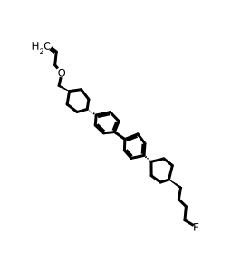 C=CCOC[C@H]1CC[C@H](c2ccc(-c3ccc([C@H]4CC[C@H](CCCCF)CC4)cc3)cc2)CC1